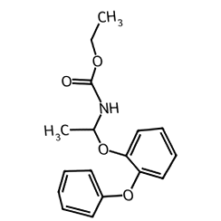 CCOC(=O)NC(C)Oc1ccccc1Oc1ccccc1